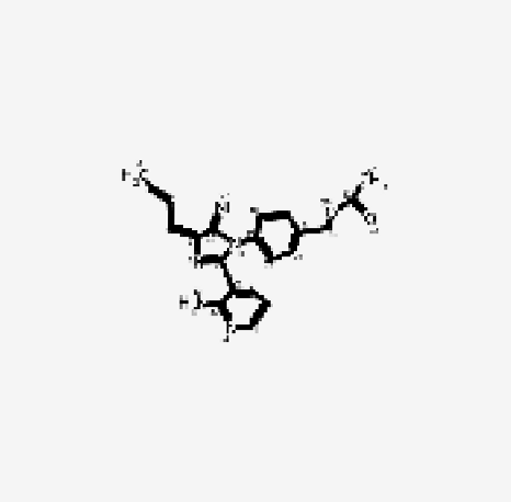 C/C=C/C=C1/N=C(c2cccnc2N)N(c2ccc(COC(C)=O)cc2)C1=N